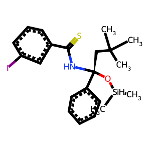 C[SiH](C)O[C@@](CC(C)(C)C)(NC(=S)c1cccc(I)c1)c1ccccc1